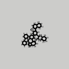 c1ccc2c(c1)-c1ccccc1C21c2cccc3ccc4c(c23)c2c1cccc2n4-c1nc2ccccc2nc1-c1ccc2oc3ccc4ccccc4c3c2c1